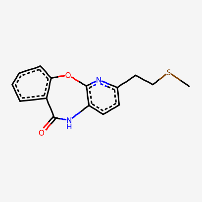 CSCCc1ccc2c(n1)Oc1ccccc1C(=O)N2